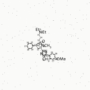 CCN(CC)CCCS(=O)(=O)N(C)[C@H](CCc1ccccc1)c1nc(-c2ccc(OC)cc2)n(C)n1